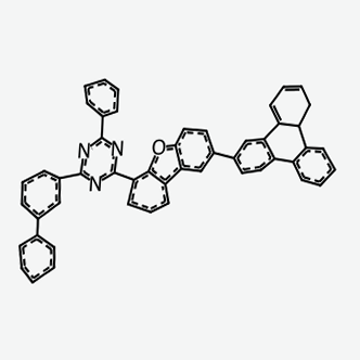 C1=CCC2C(=C1)c1cc(-c3ccc4oc5c(-c6nc(-c7ccccc7)nc(-c7cccc(-c8ccccc8)c7)n6)cccc5c4c3)ccc1-c1ccccc12